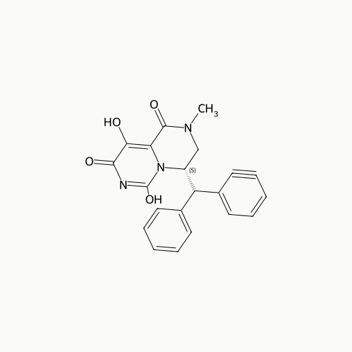 CN1C[C@H](C(c2c#cccc2)c2ccccc2)n2c(O)nc(=O)c(O)c2C1=O